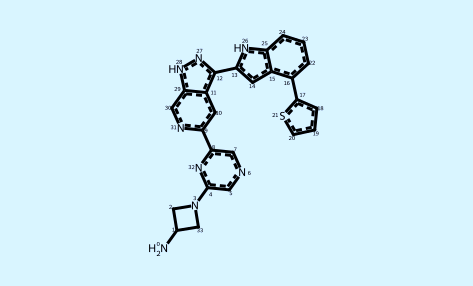 NC1CN(c2cncc(-c3cc4c(-c5cc6c(-c7cccs7)cccc6[nH]5)n[nH]c4cn3)n2)C1